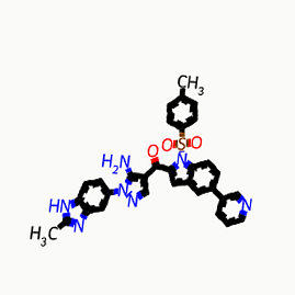 Cc1ccc(S(=O)(=O)n2c(C(=O)c3cnn(-c4ccc5[nH]c(C)nc5c4)c3N)cc3cc(-c4cccnc4)ccc32)cc1